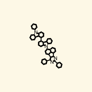 c1ccc(-c2nc(-c3ccccc3)c3c(n2)-c2cccc4c(-n5c6ccccc6c6c(-c7cccc8c7c7ccccc7n8-c7ccccc7)cccc65)ccc-3c24)cc1